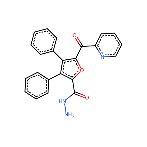 NNC(=O)c1oc(C(=O)c2ccccn2)c(-c2ccccc2)c1-c1ccccc1